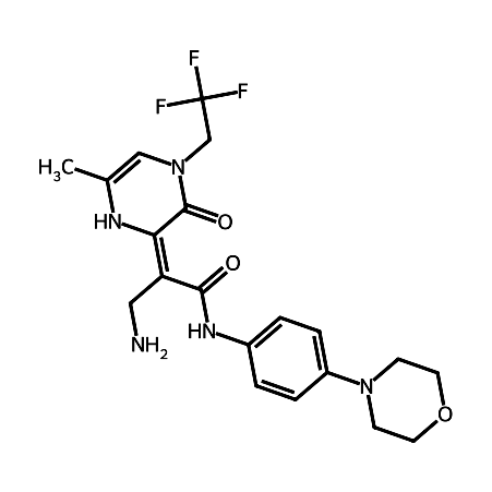 CC1=CN(CC(F)(F)F)C(=O)/C(=C(/CN)C(=O)Nc2ccc(N3CCOCC3)cc2)N1